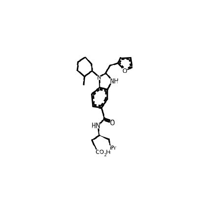 CC(C)C[C@@H](CC(=O)O)NC(=O)c1ccc2c(c1)NC(Cc1ccco1)N2C1CCCCC1C